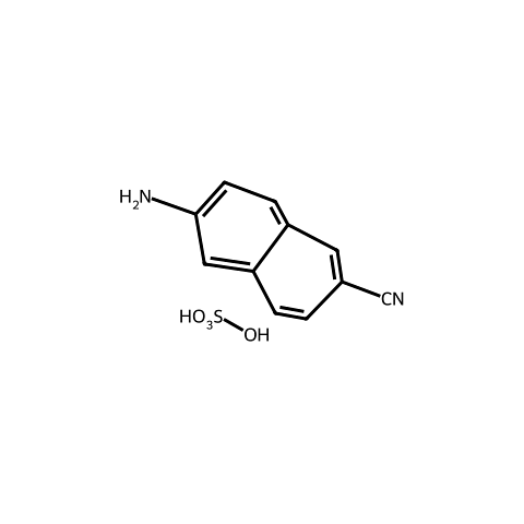 N#Cc1ccc2cc(N)ccc2c1.O=S(=O)(O)O